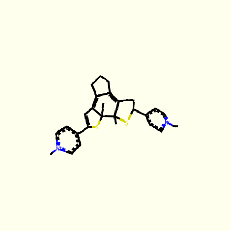 C[n+]1ccc(C2=CC3=C4CCCC4=C4CC(c5cc[n+](C)cc5)SC4(C)C3(C)S2)cc1